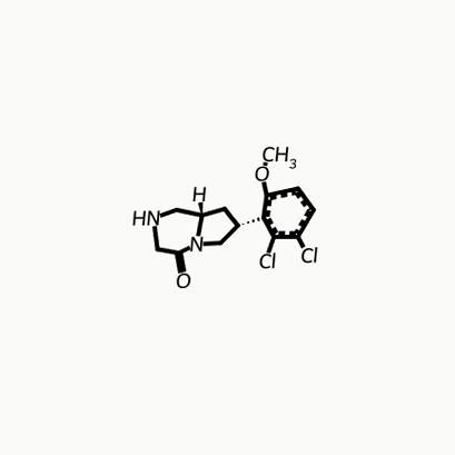 COc1ccc(Cl)c(Cl)c1[C@H]1C[C@H]2CNCC(=O)N2C1